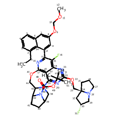 CCc1cccc2cc(OCOC)cc(-c3nc4c5c(nc(OC[C@@]67CCCN6C[C@H](F)C7)nc5c3F)N3CC5CCC(C3CO4)N5C(=O)OC(C)(C)C)c12